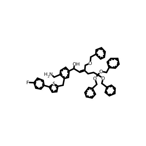 NCc1ccc(C(O)C=C(CCC(OCc2ccccc2)(OCc2ccccc2)OCc2ccccc2)COCc2ccccc2)cc1Cc1ccc(-c2ccc(F)cc2)s1